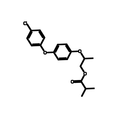 CC(COC(=O)C(C)C)Oc1ccc(Oc2ccc(Cl)cc2)cc1